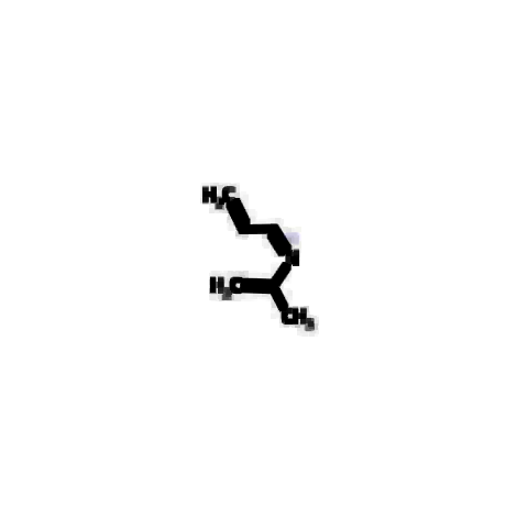 C=C/C=N\C(=C)C